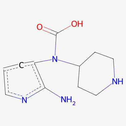 Nc1ncccc1N(C(=O)O)C1CCNCC1